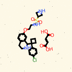 O=C(O)C=CC(=O)O.O=S(=O)(NCCOc1ccc2c(c1)C(C1(c3ccc(Cl)cc3)CCC1)NCC2)C1CNC1